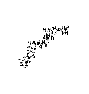 Cn1cc(-c2cnc(N)c(C(=O)N[C@@H]3CCN(C(=O)Oc4cccc(-c5ccc(CN6CCOCC6)cc5)c4)C3)c2)cn1